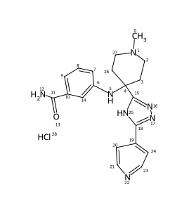 CN1CCC(Nc2cccc(C(N)=O)c2)(c2nnc(-c3ccncc3)[nH]2)CC1.Cl